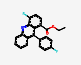 CCOC(=O)c1ccc(F)c2nc3ccccc3c(-c3ccc(F)cc3)c12